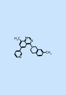 Cc1ccc2c(c1)CN(c1ncnc3c(C)cc(-c4cccnc4)cc13)CC2